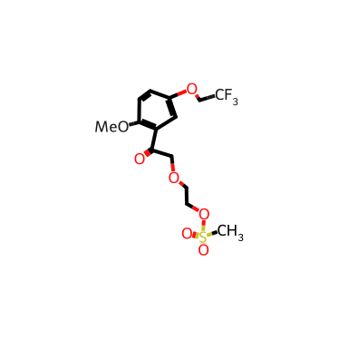 COc1ccc(OCC(F)(F)F)cc1C(=O)COCCOS(C)(=O)=O